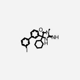 CN1C(=N)NC(c2cccc(-c3cccc(I)c3)c2)(C2CCCCC2)C1=O